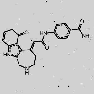 NC(=O)c1ccc(NC(=O)C=C2CCNCc3[nH]c4c(c32)C(=O)CC=C4)cc1